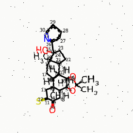 CC1(C)O[C@H]2[C@H](O1)[C@H]1CC(=O)C(=S)C[C@]1(C)[C@H]1CC[C@@]3(C)[C@@H](CC[C@@]3(O)c3ccccn3)[C@H]21